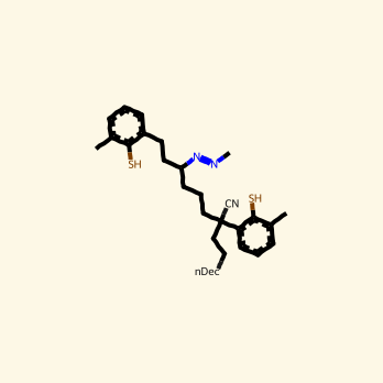 CCCCCCCCCCCCC(C#N)(CCCC(CCc1cccc(C)c1S)N=NC)c1cccc(C)c1S